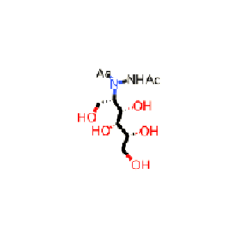 CC(=O)NN(C(C)=O)[C@@H](CO)[C@H](O)[C@@H](O)[C@H](O)CO